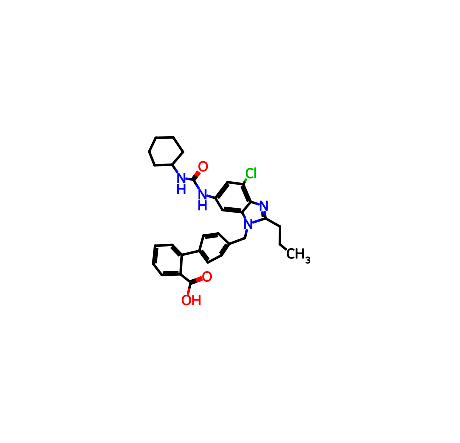 CCCc1nc2c(Cl)cc(NC(=O)NC3CCCCC3)cc2n1Cc1ccc(-c2ccccc2C(=O)O)cc1